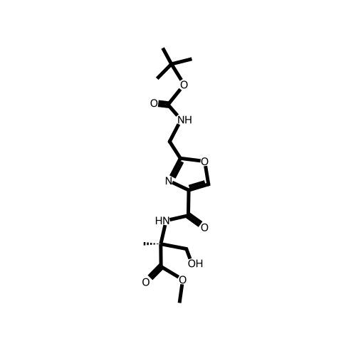 COC(=O)[C@](C)(CO)NC(=O)c1coc(CNC(=O)OC(C)(C)C)n1